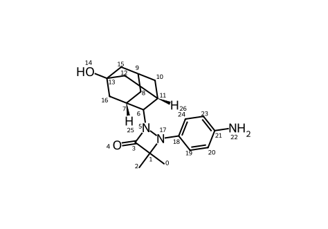 CC1(C)C(=O)N(C2[C@H]3CC4C[C@H]2CC(O)(C4)C3)N1c1ccc(N)cc1